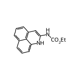 CCOC(=O)NC1=Cc2cccc3cccc(c23)N1